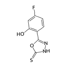 Oc1cc(F)ccc1-c1n[nH]c(=S)o1